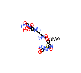 COc1cc(-c2cn(C)c(=O)c3cc(C(=N)NC4CCS(=O)(=O)CC4)sc23)ccc1OCC(=O)NCCCCCCCCNc1ccc2c(c1)C(=O)N(C1CCC(=O)NC1=O)C2O